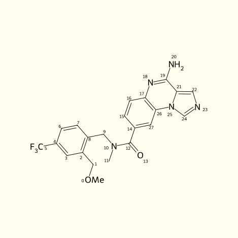 COCc1cc(C(F)(F)F)ccc1CN(C)C(=O)c1ccc2nc(N)c3cncn3c2c1